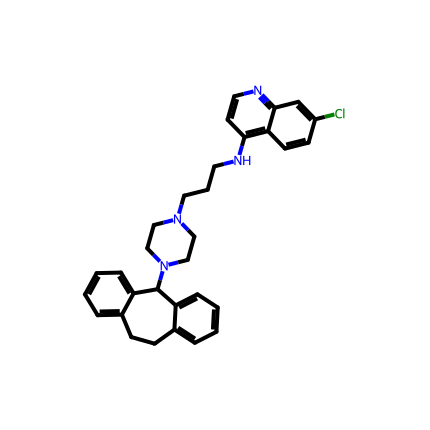 Clc1ccc2c(NCCCN3CCN(C4c5ccccc5CCc5ccccc54)CC3)ccnc2c1